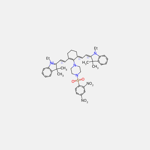 CCN1/C(=C/C=C2\CCCC(/C=C/C3=[N+](CC)c4ccccc4C3(C)C)=C2N2CCN(S(=O)(=O)c3ccc([N+](=O)[O-])cc3[N+](=O)[O-])CC2)C(C)(C)c2ccccc21